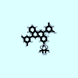 Cc1cc(C)cc(-c2cc3c4cc(B5OC(C)(C)C(C)(C)O5)ccc4c(-c4cc(C)cc(C)c4)cc3c3ccccc23)c1